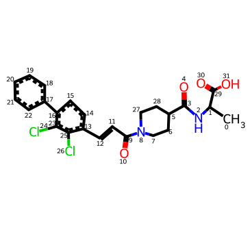 CC(NC(=O)C1CCN(C(=O)C=Cc2ccc(-c3ccccc3)c(Cl)c2Cl)CC1)C(=O)O